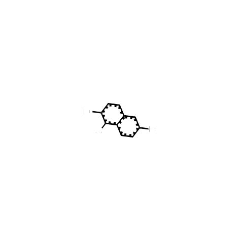 CCc1ccc2c([O])c(CC)ccc2c1